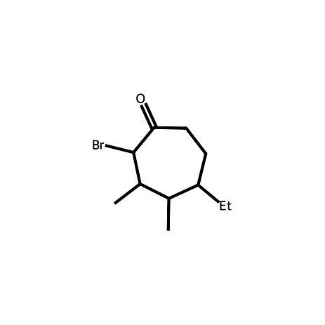 CCC1CCC(=O)C(Br)C(C)C1C